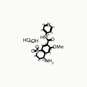 COc1cc2c(cc1C(=O)Nc1ccncc1)S(=O)(=O)CC[C@@H]2N.Cl.Cl